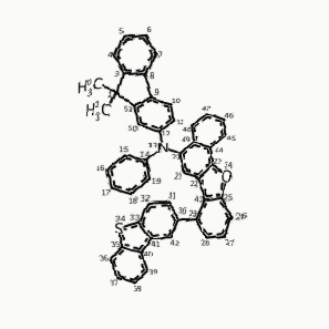 CC1(C)c2ccccc2-c2ccc(N(c3ccccc3)c3cc4c(oc5cccc(-c6ccc7sc8ccccc8c7c6)c54)c4ccccc34)cc21